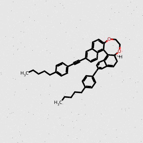 CCCCCc1ccc(C#Cc2ccc3c4c(ccc3c2)OCCO[C@H]2CC=c3cc(-c5ccc(CCCCC)cc5)ccc3=C42)cc1